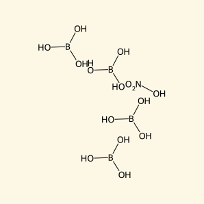 O=[N+]([O-])O.OB(O)O.OB(O)O.OB(O)O.OB(O)O